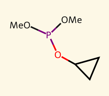 COP(OC)OC1CC1